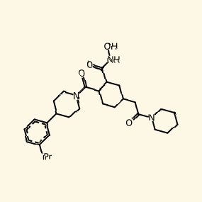 CC(C)c1cccc(C2CCN(C(=O)C3CCC(CC(=O)N4CCCCC4)CC3C(=O)NO)CC2)c1